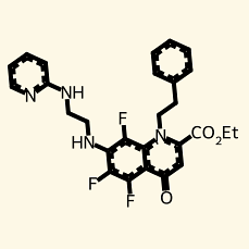 CCOC(=O)c1cc(=O)c2c(F)c(F)c(NCCNc3ccccn3)c(F)c2n1CCc1ccccc1